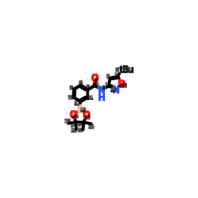 CC(C)(C)c1cc(NC(=O)c2cccc(B3OC(C)(C)C(C)(C)O3)c2)no1